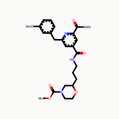 CNC(=O)c1cc(C(=O)NCCCC2CN(C(=O)OC(C)(C)C)CCO2)cc(Cc2cccc(OC)c2)n1